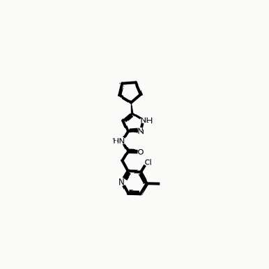 Cc1ccnc(CC(=O)Nc2cc([C@H]3C[CH]CC3)[nH]n2)c1Cl